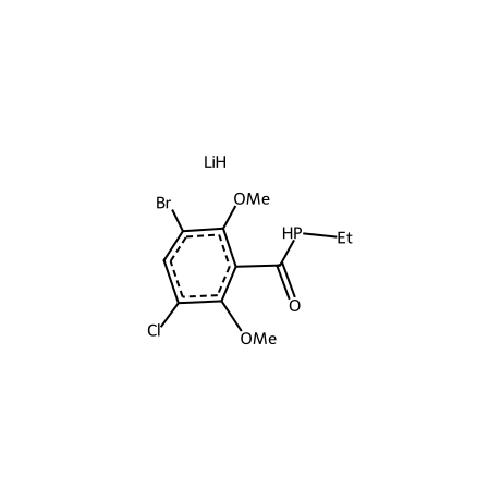 CCPC(=O)c1c(OC)c(Cl)cc(Br)c1OC.[LiH]